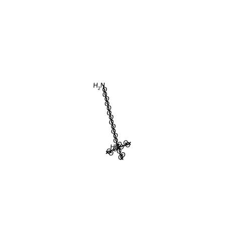 CC(C)(C)OC(=O)CCOCC(COCCC(=O)OC(C)(C)C)(COCCC(=O)OC(C)(C)C)NC(=O)CCOCCOCCOCCOCCOCCOCCOCCOCCOCCOCCOCCOCCN